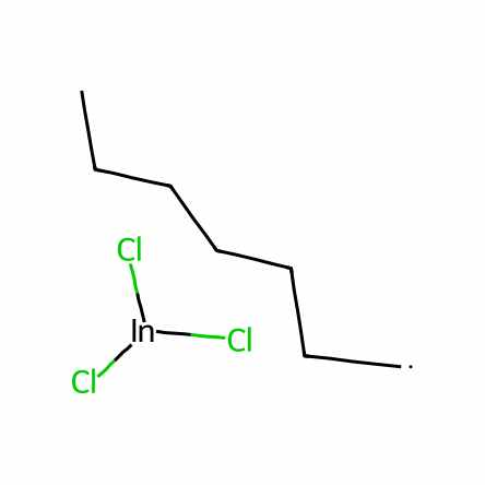 [CH2]CCCCCC.[Cl][In]([Cl])[Cl]